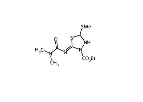 CCOC(=O)N1NC(SC)SC1=NC(=O)N(C)C